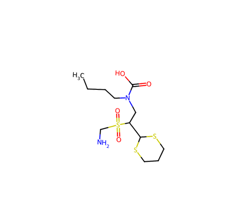 CCCCN(CC(C1SCCCS1)S(=O)(=O)CN)C(=O)O